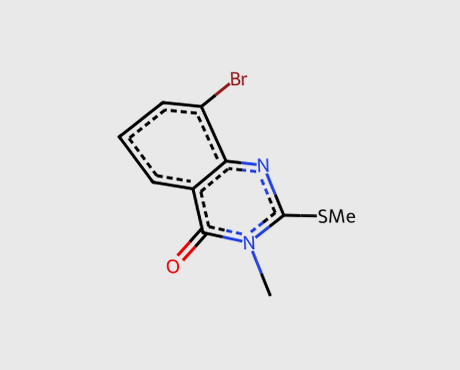 CSc1nc2c(Br)cccc2c(=O)n1C